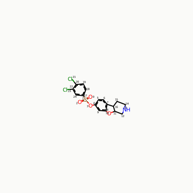 O=S(=O)(Oc1ccc2c(c1)OC1CNCCC21)c1ccc(Cl)c(Cl)c1